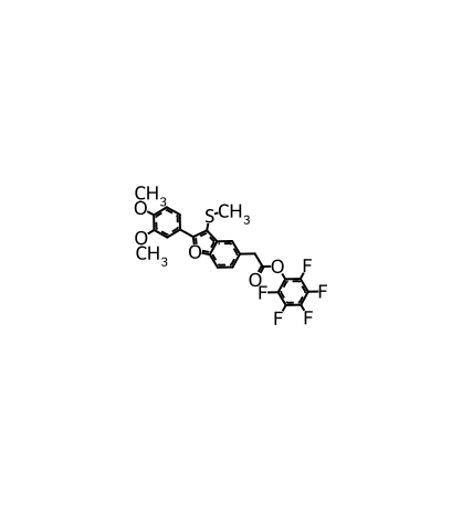 COc1ccc(-c2oc3ccc(CC(=O)Oc4c(F)c(F)c(F)c(F)c4F)cc3c2SC)cc1OC